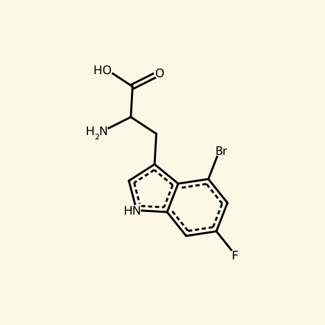 NC(Cc1c[nH]c2cc(F)cc(Br)c12)C(=O)O